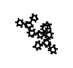 c1ccc(-c2nc(-c3ccccc3)nc(-c3ccnc(-c4ccc5c(c4)C4(c6cccc(-c7nc(-c8ccccc8)nc(-c8ccccc8)n7)c6-5)C5CC6CC(C5)CC4C6)c3)n2)cc1